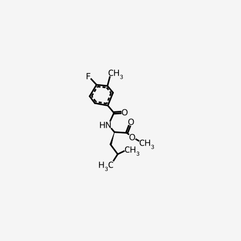 COC(=O)[C@@H](CC(C)C)NC(=O)c1ccc(F)c(C)c1